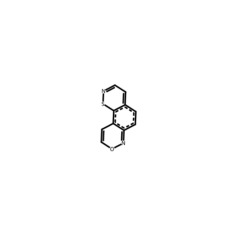 C1=Cc2c3c(ccc2=NO1)=CC=NS3